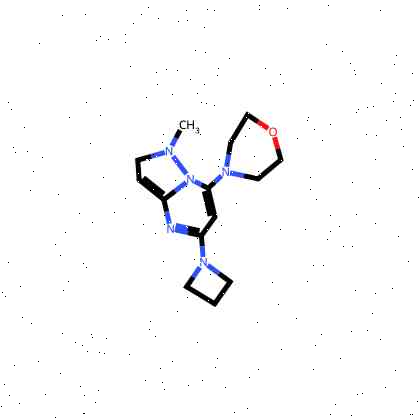 CN1CC=C2N=C(N3CCC3)C=C(N3CCOCC3)N21